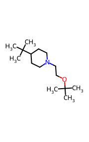 CC(C)(C)OCCN1CCC(C(C)(C)C)CC1